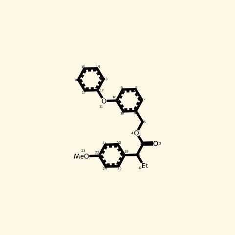 CCC(C(=O)OCc1cccc(Oc2ccccc2)c1)c1ccc(OC)cc1